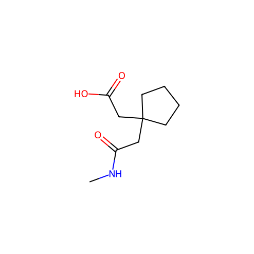 CNC(=O)CC1(CC(=O)O)CCCC1